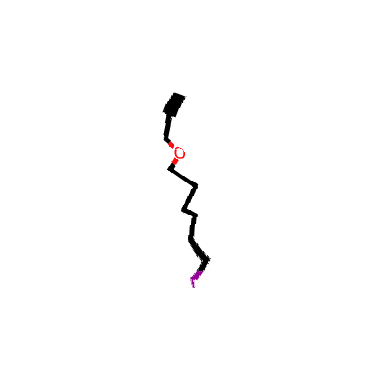 C#CCOCCCCCCI